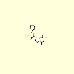 C[C@H](NC(CCc1ccccc1)C(=O)O)C(=O)N1CC2COCC2CC1C(=O)O